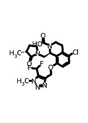 C[C@@H]1CCN(C[C@@H]2c3c(OCc4nnn(C)c4C(F)F)ccc(Cl)c3CCN2C(=O)O)C1=O